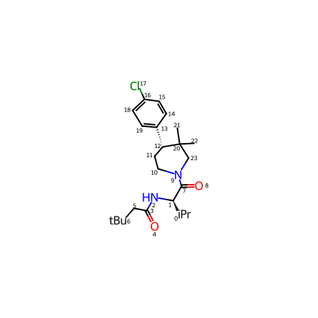 CC(C)[C@@H](NC(=O)CC(C)(C)C)C(=O)N1CC[C@H](c2ccc(Cl)cc2)C(C)(C)C1